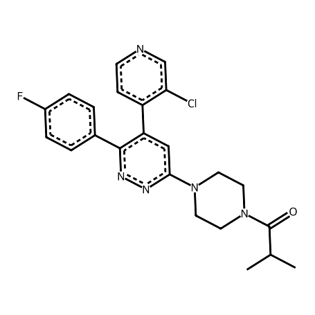 CC(C)C(=O)N1CCN(c2cc(-c3ccncc3Cl)c(-c3ccc(F)cc3)nn2)CC1